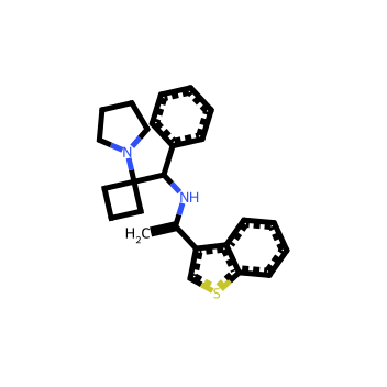 C=C(NC(c1ccccc1)C1(N2CCCC2)CCC1)c1csc2ccccc12